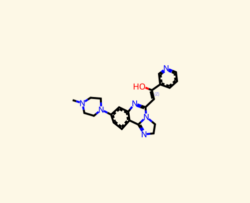 CN1CCN(c2ccc3c(c2)N=C(/C=C(\O)c2cccnc2)N2CCN=C32)CC1